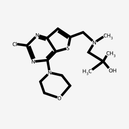 CN(Cc1cc2nc(Cl)nc(N3CCOCC3)c2s1)CC(C)(C)O